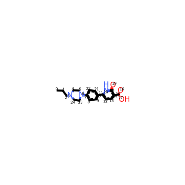 CCCN1CCN(c2ccc(-c3ccc(C(=O)O)c(=O)[nH]3)cc2)CC1